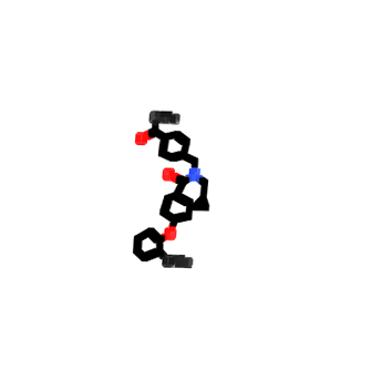 COC(=O)c1ccc(CN(CC2CC2)C(=O)c2ccc(Oc3ccccc3OC)cc2)cc1